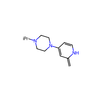 C=C1C=C(N2CCN(C(C)C)CC2)C=CN1